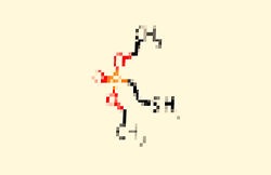 CCOP(=O)(CC[SiH3])OCC